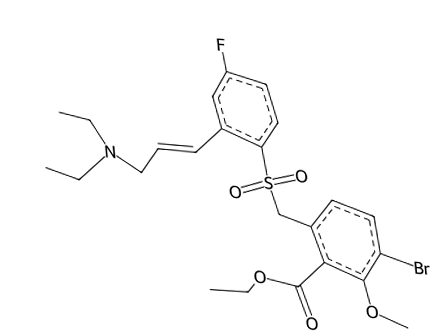 CCOC(=O)c1c(CS(=O)(=O)c2ccc(F)cc2C=CCN(CC)CC)ccc(Br)c1OC